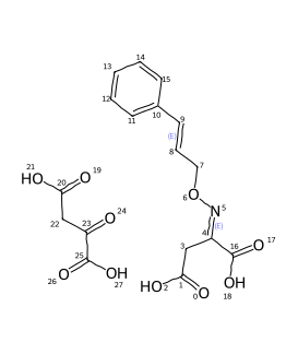 O=C(O)C/C(=N\OC/C=C/c1ccccc1)C(=O)O.O=C(O)CC(=O)C(=O)O